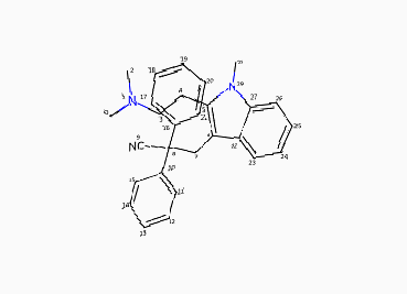 CN(C)CCc1c(CC(C#N)(c2ccccc2)c2ccccc2)c2ccccc2n1C